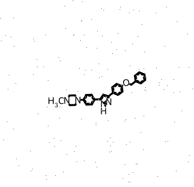 CN1CCN(c2ccc(-c3cc(-c4ccc(OCc5ccccc5)cc4)n[nH]3)cc2)CC1